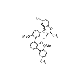 CCC(C)c1ccc(OC(C)OCCOc2c(-c3cc(C)ccc3OC)cccc2-c2cc(C)ccc2OC)cc1